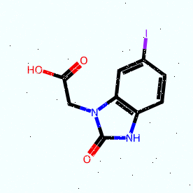 O=C(O)Cn1c(=O)[nH]c2ccc(I)cc21